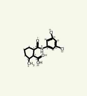 CC1CCCC(C(=O)Nc2cc(Cl)cc(Cl)c2)C1C(=O)O